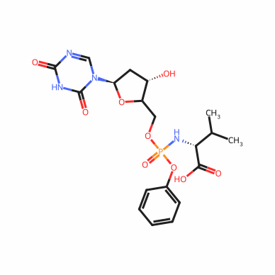 CC(C)[C@@H](NP(=O)(OCC1O[C@@H](n2cnc(=O)[nH]c2=O)C[C@@H]1O)Oc1ccccc1)C(=O)O